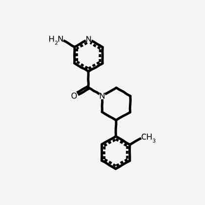 Cc1ccccc1C1CCCN(C(=O)c2ccnc(N)c2)C1